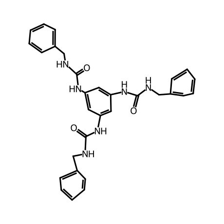 O=C(NCc1ccccc1)Nc1cc(NC(=O)NCc2ccccc2)cc(NC(=O)NCc2ccccc2)c1